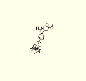 CCOC(=O)C[C@@H](N)c1ccc(C(C)(C)C(O[SiH2]C)O[SiH2]C)cc1